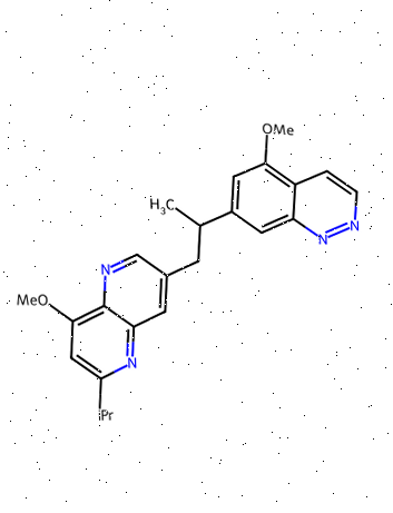 COc1cc(C(C)Cc2cnc3c(OC)cc(C(C)C)nc3c2)cc2nnccc12